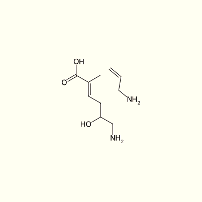 C/C(=C\CC(O)CN)C(=O)O.C=CCN